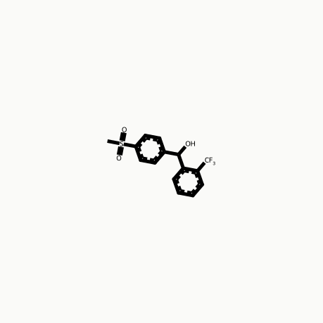 CS(=O)(=O)c1ccc(C(O)c2ccccc2C(F)(F)F)cc1